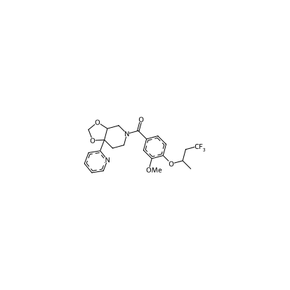 COc1cc(C(=O)N2CCC3(c4ccccn4)OCOC3C2)ccc1OC(C)CC(F)(F)F